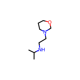 CC(C)NCCN1CCCOC1